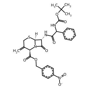 C=C1CS[C@H]2[C@H](NC(=O)C(NC(=O)OC(C)(C)C)c3ccccc3)C(=O)N2[C@H]1C(=O)OCc1ccc([N+](=O)[O-])cc1